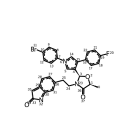 C[C@@H]1O[C@H](c2cn(-c3ccc(Br)cc3)cc2-c2ccc(F)cc2)N(CCc2ccc3c(c2)=NC(=O)C=3)C1=O